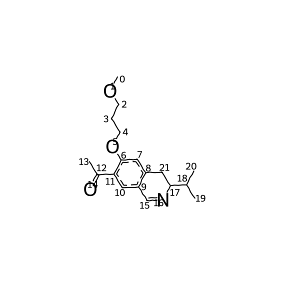 COCCCOc1cc2c(cc1C(C)=O)C=NC(C(C)C)C2